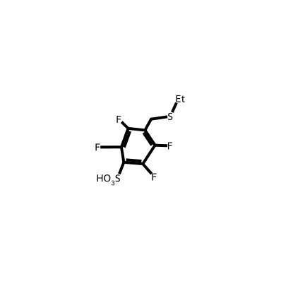 CCSCc1c(F)c(F)c(S(=O)(=O)O)c(F)c1F